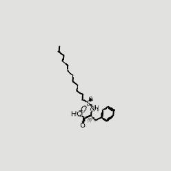 CCCCCCCCCCCCS(=O)(=O)N[C@@H](Cc1ccccc1)C(=O)O